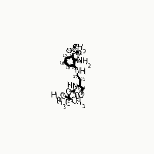 CC(C)(C)OC(=O)NC(C=O)CCNc1cccc(S(C)(=O)=O)c1N